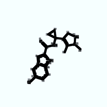 CC1=C(C2(NC(=O)c3cc4cc(Cl)ccc4[nH]3)CC2)CNN1C